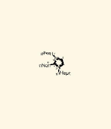 CCCCCCCCCc1n(CCCCCCC)cc[n+]1CCCCC